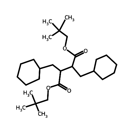 CC(C)(C)COC(=O)C(CC1CCCCC1)C(CC1CCCCC1)C(=O)OCC(C)(C)C